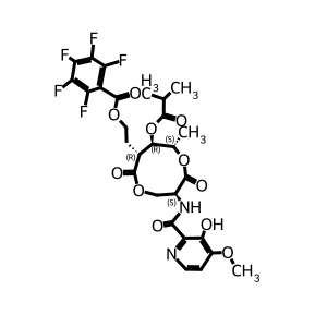 COc1ccnc(C(=O)N[C@H]2COC(=O)[C@H](CCOC(=O)c3c(F)c(F)c(F)c(F)c3F)[C@@H](OC(=O)C(C)C)[C@H](C)OC2=O)c1O